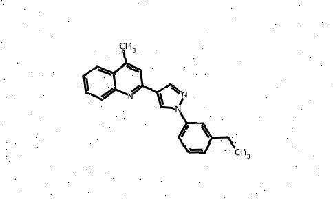 CCc1cccc(-n2cc(-c3cc(C)c4ccccc4n3)cn2)c1